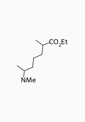 CCOC(=O)C(C)CCCC(C)NC